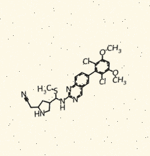 COc1cc(OC)c(Cl)c(-c2ccc3nc(NC(SC)C4CNC(CC#N)C4)ncc3c2)c1Cl